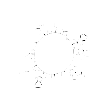 CC(=O)NC(O)(CC(=O)O)C(O)N[C@H]1CSSC[C@@H](C(=O)N[C@H](C(=O)O)[C@@H](C)O)NC(=O)[C@H](Cc2c[nH]c3ccccc23)NC(=O)[C@H](C(C)C)NC(=O)[C@H](CC(C)C)NC(=O)[C@H](CCC(=O)O)NC(=O)CNC(=O)[C@H](CC(C)C)NC(=O)[C@H](CCCCN)NC(=O)[C@H](Cc2c[nH]c3ccccc23)NC(=O)[C@H](C)NC1=O